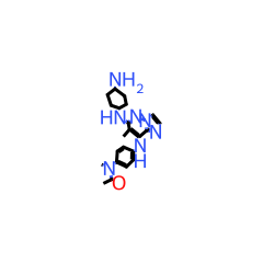 CC(=O)N(C)c1ccc(Nc2c(C)c(N[C@H]3CC[C@H](N)CC3)nn3ccnc23)cc1